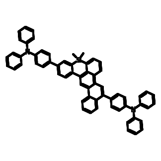 C[Si]1(C)c2cc(-c3ccc(N(c4ccccc4)c4ccccc4)cc3)ccc2-c2cc3c4ccccc4c(-c4ccc(N(c5ccccc5)c5ccccc5)cc4)cc3c3cccc1c23